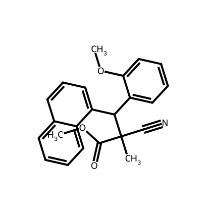 COC(=O)C(C)(C#N)C(c1ccccc1OC)c1cccc2ccccc12